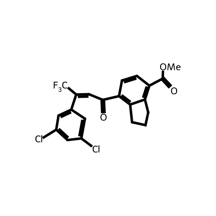 COC(=O)c1ccc(C(=O)C=C(c2cc(Cl)cc(Cl)c2)C(F)(F)F)c2c1CCC2